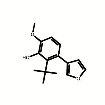 COc1ccc(-c2ccoc2)c(C(C)(C)C)c1O